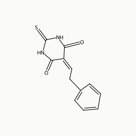 O=C1NC(=S)NC(=O)C1=CCc1ccccc1